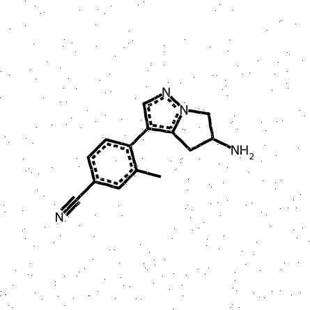 Cc1cc(C#N)ccc1-c1cnn2c1CC(N)C2